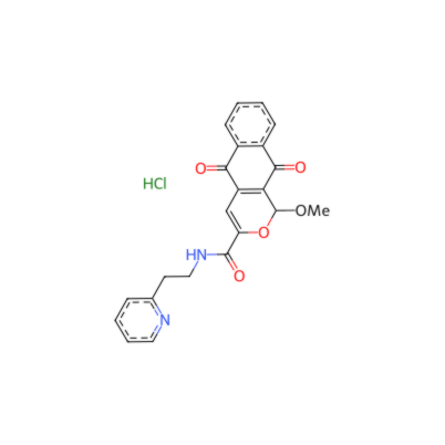 COC1OC(C(=O)NCCc2ccccn2)=CC2=C1C(=O)c1ccccc1C2=O.Cl